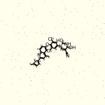 Cc1ccc(-c2cc(C)c3cc(Oc4c(Cl)cc(N5N=C(C#N)C(O)NC5O)cc4Cl)ccc3n2)s1